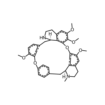 COc1ccc2cc1Oc1ccc(cc1)C[C@H]1c3cc(c(OC)cc3CCN1C)Oc1c(OC)c(OC)cc3c1[C@@H](C2)NCC3